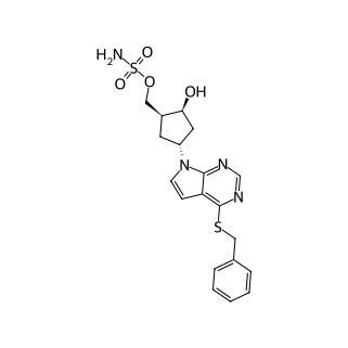 NS(=O)(=O)OC[C@@H]1C[C@@H](n2ccc3c(SCc4ccccc4)ncnc32)C[C@@H]1O